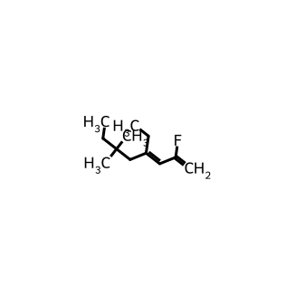 C=C(F)/C=C(\CC)CC(C)(C)CC